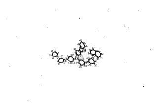 c1ccc(-c2cccc(-c3ccc(N(c4cccc(-c5cccc(-c6cccc7ccccc67)c5)c4)c4ccc5c(c4)oc4ccccc45)cc3)c2)cc1